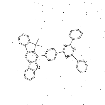 CC1(C)c2ccccc2-c2cc3c(oc4ccccc43)c(-c3ccc(-c4nc(-c5ccccc5)nc(-c5ccccc5)n4)cc3)c21